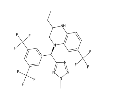 CCC1CN([C@H](c2cc(C(F)(F)F)cc(C(F)(F)F)c2)c2nnn(C)n2)c2cc(C(F)(F)F)ccc2N1